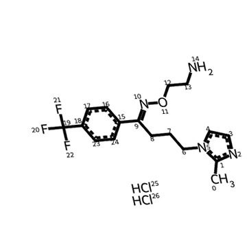 Cc1nccn1CCCC(=NOCCN)c1ccc(C(F)(F)F)cc1.Cl.Cl